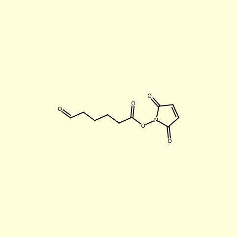 O=[C]CCCCC(=O)ON1C(=O)C=CC1=O